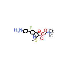 CCN(CC)C(=O)COC(=O)c1c2n(c3cc(-c4ccc(N)cc4)c(F)cc3c1=O)C(C)S2